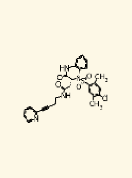 Cc1cc(S(=O)(=O)N2c3ccccc3NC(=O)[C@H]2CC(=O)NCCC#Cc2ccccn2)c(C)cc1Cl